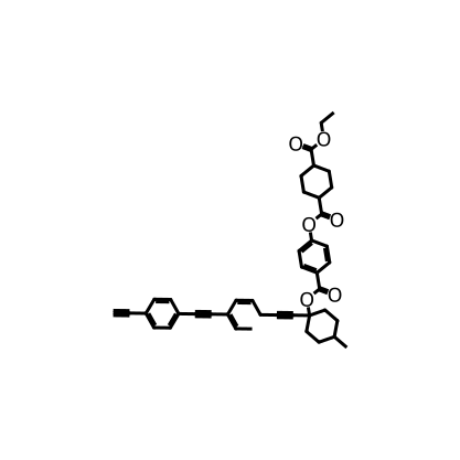 C#Cc1ccc(C#CC(/C=C\CC#CC2(OC(=O)c3ccc(OC(=O)C4CCC(C(=O)OCC)CC4)cc3)CCC(C)CC2)=C/C)cc1